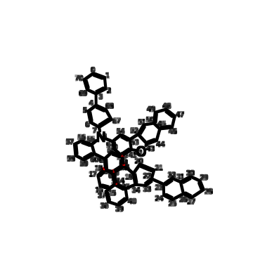 c1ccc(-c2ccc(N(c3cc(N(c4ccccc4)c4ccc(-c5ccc6ccccc6c5)cc4-c4ccccc4)c4oc5cc6ccccc6cc5c4c3)c3ccccc3-c3ccccc3)cc2)cc1